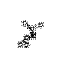 c1ccc(COc2cc(OCc3ccccc3)cc(-c3nnc(Nc4cccc(SCc5ccccc5-c5ccccc5)c4)s3)c2)cc1